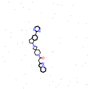 O=C(Cc1cc2ccccn2n1)N1CCC2(CC1)CN(C1CCc3cc(-c4ncccn4)ccc31)C2